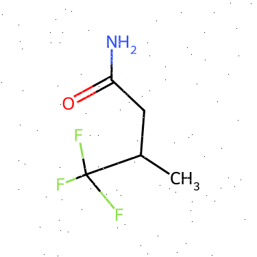 CC(CC(N)=O)C(F)(F)F